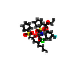 CCCCCCC(CS(=O)(=O)c1ccccc1)OC(=O)N(c1ccc(F)cc1Cl)S(=O)(=O)C1CCCC=C1C(=O)OCC